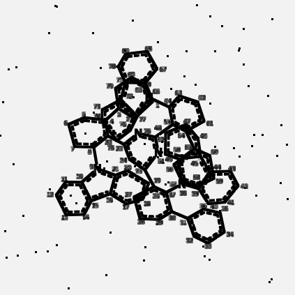 c1ccc(-c2cccc(-n3c4ccccc4c4ccccc43)c2-c2cc(-c3cccc(-c4ccccc4)c3-n3c4ccccc4c4ccccc43)nc(-c3c(-c4ccccc4)cccc3-n3c4ccccc4c4ccccc43)n2)cc1